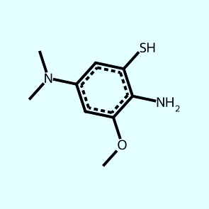 COc1cc(N(C)C)cc(S)c1N